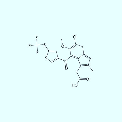 COC1=C(Cl)CC2=NC(C)=C(CC(=O)O)C2=C1C(=O)c1csc(SC(F)(F)F)c1